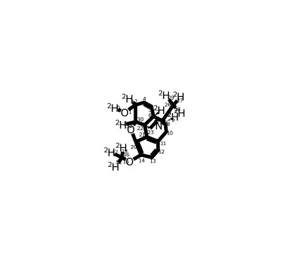 [2H]OC1([2H])C=C[C@@]2([2H])[C@@]3([2H])Cc4ccc(OC([2H])([2H])[2H])c5c4[C@@]2(CCN3C([2H])([2H])[2H])C1([2H])O5